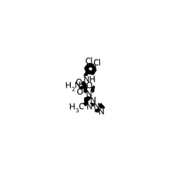 Cc1cc(N2CCOC(C(N)=O)(C(=O)NCc3ccc(Cl)c(Cl)c3)C2)nc(-n2ccnc2)n1